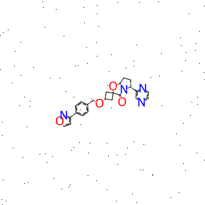 O=C1N2C(CC[C@H]2c2cnccn2)OC12CC(OCc1ccc(-c3ccon3)cc1)C2